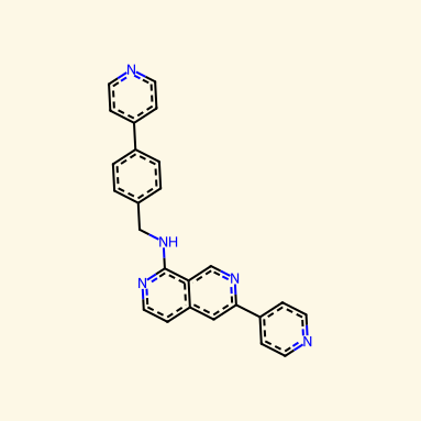 c1cc(-c2ccc(CNc3nccc4cc(-c5ccncc5)ncc34)cc2)ccn1